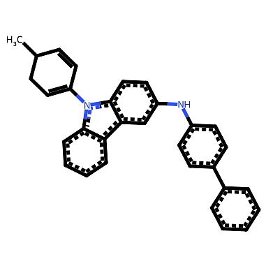 CC1C=CC(n2c3ccccc3c3cc(Nc4ccc(-c5ccccc5)cc4)ccc32)=CC1